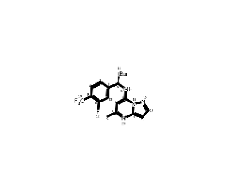 Cc1cc(N[C@@H](c2ccc(C(F)(F)F)c(F)c2)C(C)(C)C)n2nccc2n1